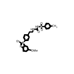 CCc1nc2ccc(OC)cc2n1-c1ccc(CCNC(=O)NS(=O)(=O)c2ccc(C)cc2)cc1